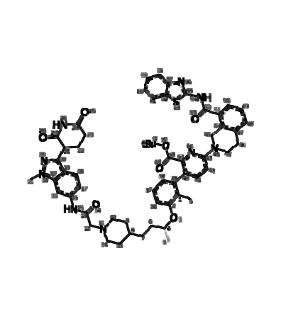 Cc1c(O[C@H](C)CCC2CCN(CC(=O)Nc3ccc4c(C5CCC(=O)NC5=O)nn(C)c4c3)CC2)cccc1-c1ccc(N2CCc3cccc(C(=O)Nc4nc5ccccc5s4)c3C2)nc1C(=O)OC(C)(C)C